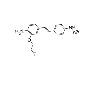 CCCNc1ccc(C=Cc2ccc(N)c(OCCF)c2)cc1